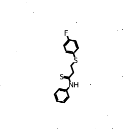 Fc1ccc(SCCC(=S)Nc2ccccc2)cc1